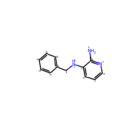 Nc1ncccc1NCc1ccccc1